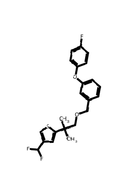 CC(C)(COCc1cccc(Oc2ccc(F)cc2)c1)c1cc(C(F)F)cs1